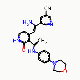 C=C(Nc1ccc(N2CCOCC2)cc1)c1c(/C=C(\N)c2cncc(C#N)c2)cc[nH]c1=O